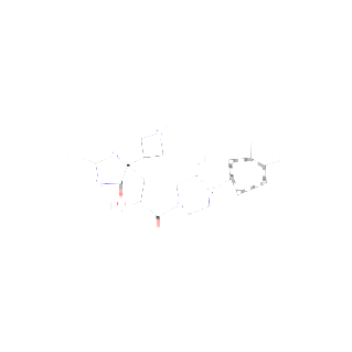 CC(CC1(C2CN(C)C2)NC(O)NC1=O)C(=O)N1CCN(c2ccc(F)c(F)c2)[C@@H](C)C1